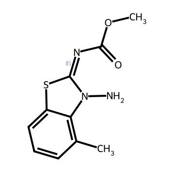 COC(=O)/N=c1/sc2cccc(C)c2n1N